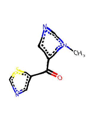 Cn1cncc1C(=O)c1cncs1